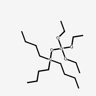 CCCC[Si](CCCC)(CCCC)[O][Zr]([O]CC)([O]CC)[O]CC